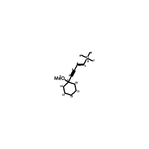 COC1(C#CC=C[Si](C)(C)C)CCCCC1